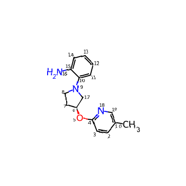 Cc1ccc(O[C@H]2CCN(c3ccccc3N)C2)nc1